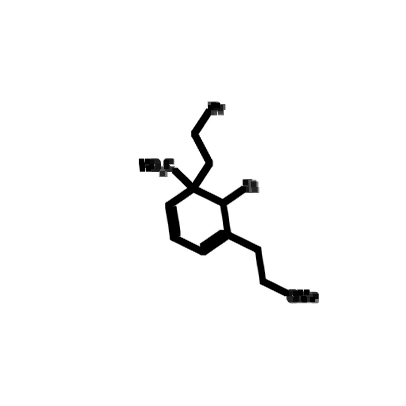 CCC1C(CCOC)=CC=CC1(CCC(C)C)C(=O)O